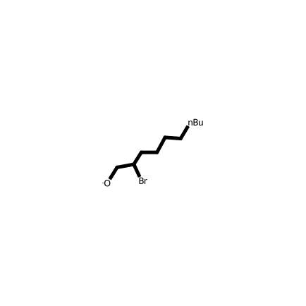 CCCCCCCCC(Br)C[O]